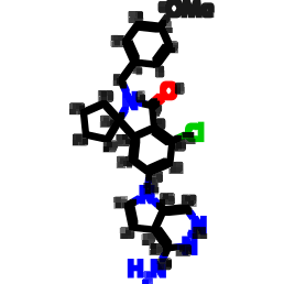 COc1ccc(CN2C(=O)c3c(Cl)cc(-n4ccc5c(N)nncc54)cc3C23CCCC3)cc1